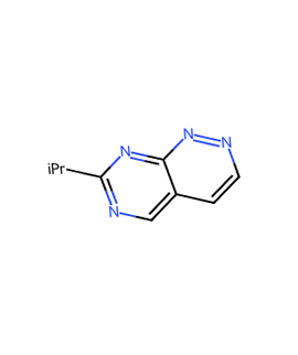 CC(C)c1ncc2ccnnc2n1